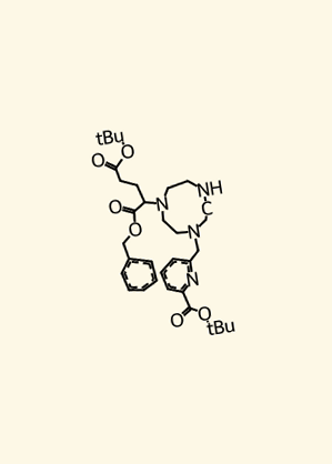 CC(C)(C)OC(=O)CCC(C(=O)OCc1ccccc1)N1CCNCCN(Cc2cccc(C(=O)OC(C)(C)C)n2)CC1